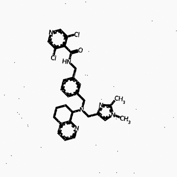 Cc1nc(CN(Cc2cccc(CNC(=O)c3c(Cl)cncc3Cl)c2)C2CCCc3cccnc32)cn1C